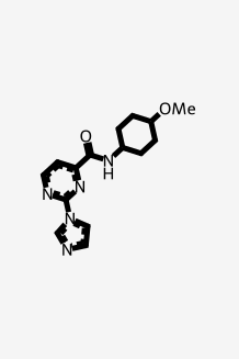 COC1CCC(NC(=O)c2ccnc(-n3ccnc3)n2)CC1